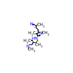 C=C/C(=C\C=N/C)C(C)CNc1cn(C)/c(=C/C=C(\C)C#N)c1=C